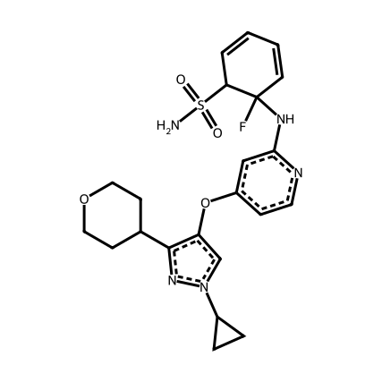 NS(=O)(=O)C1C=CC=CC1(F)Nc1cc(Oc2cn(C3CC3)nc2C2CCOCC2)ccn1